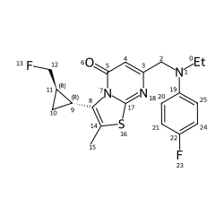 CCN(Cc1cc(=O)n2c([C@@H]3C[C@H]3CF)c(C)sc2n1)c1ccc(F)cc1